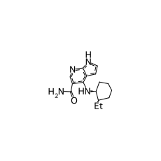 CC[C@@H]1CCCC[C@@H]1Nc1c(C(N)=O)cnc2[nH]ccc12